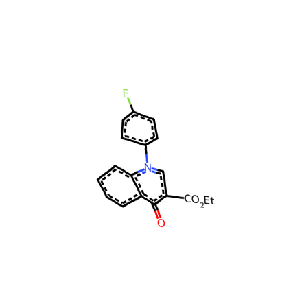 CCOC(=O)c1cn(-c2ccc(F)cc2)c2ccccc2c1=O